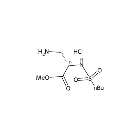 CCCCS(=O)(=O)N[C@@H](CN)C(=O)OC.Cl